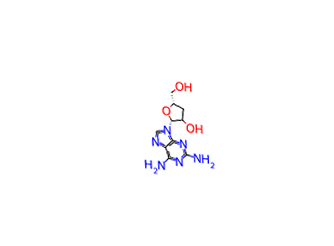 Nc1nc(N)c2ncn([C@@H]3O[C@H](CO)CC3O)c2n1